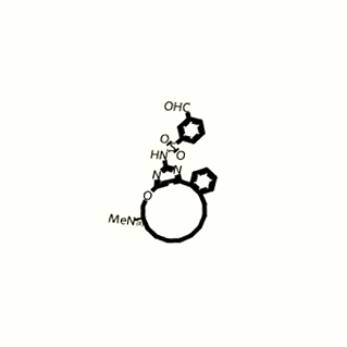 CN[C@@H]1CCCCCCCCc2ccccc2-c2cc(nc(NS(=O)(=O)c3cccc(C=O)c3)n2)OC1